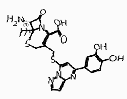 N[C@@H]1C(=O)N2C(C(=O)O)=C(CSc3cc(-c4ccc(O)c(O)c4)nc4ccnn34)CS[C@H]12